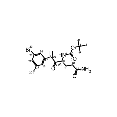 CC(C)(C)OC(=O)N[C@@H](CCC(N)=O)C(=O)Nc1cc(F)cc(Br)c1